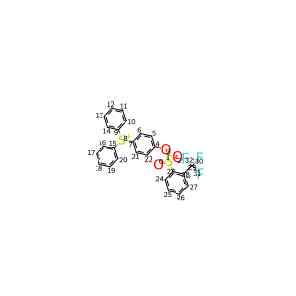 O=S(=O)(Oc1ccc([S+](c2ccccc2)c2ccccc2)cc1)c1ccccc1C(F)(F)F